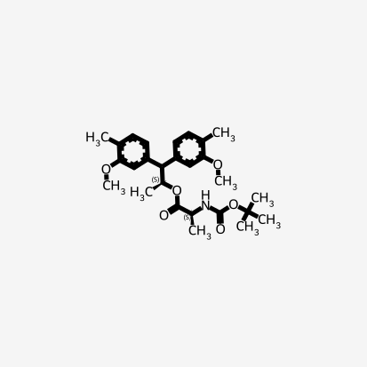 COc1cc(C(c2ccc(C)c(OC)c2)[C@H](C)OC(=O)[C@H](C)NC(=O)OC(C)(C)C)ccc1C